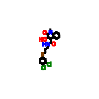 Cn1c(=O)c(O)c(C(=O)NCCCSc2ccc(Cl)c(Cl)c2)c2ccccc21